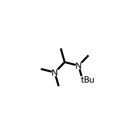 CC(N(C)C)N(C)C(C)(C)C